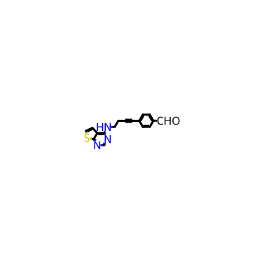 O=Cc1ccc(C#CCCNc2ncnc3sccc23)cc1